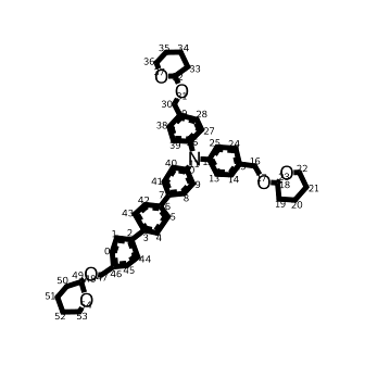 c1cc(-c2ccc(-c3ccc(N(c4ccc(COC5CCCCO5)cc4)c4ccc(COC5CCCCO5)cc4)cc3)cc2)ccc1COC1CCCCO1